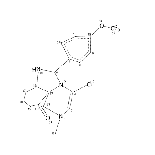 CN1C=C(Cl)N2C(c3ccc(OC(F)(F)F)cc3)NC3CCCC(=O)C32C1